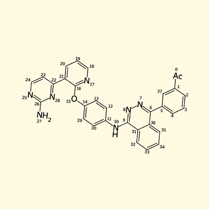 CC(=O)c1cccc(-c2nnc(Nc3ccc(Oc4ncccc4-c4ccnc(N)n4)cc3)c3ccccc23)c1